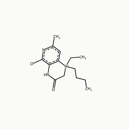 CCCC[N+]1(CC)CC(=O)Nc2c1cc(C)nc2Cl